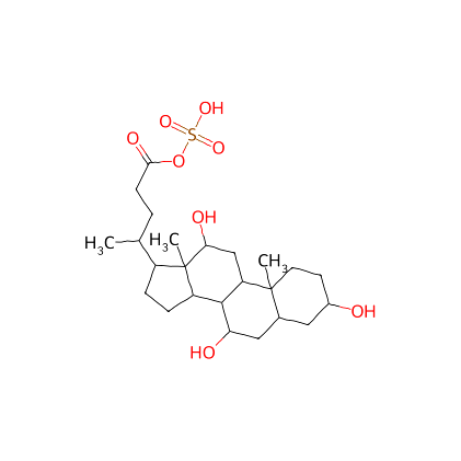 CC(CCC(=O)OS(=O)(=O)O)C1CCC2C3C(O)CC4CC(O)CCC4(C)C3CC(O)C12C